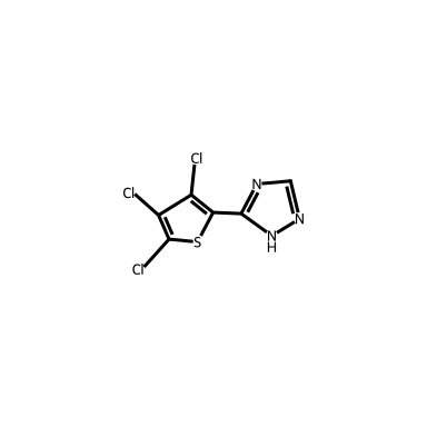 Clc1sc(-c2ncn[nH]2)c(Cl)c1Cl